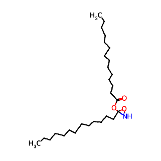 CCCCCCCCCCCCCC(=O)OC1(CCCCCCCCCCCCC)NO1